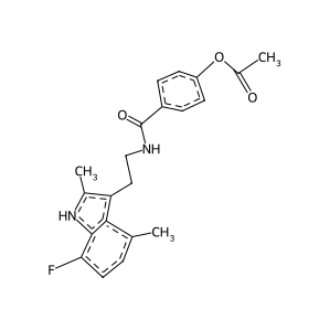 CC(=O)Oc1ccc(C(=O)NCCc2c(C)[nH]c3c(F)ccc(C)c23)cc1